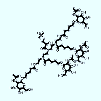 CC(=O)NC1[C@H](OCCCCC(=O)NCCN(CCN(CCN(CCNC(=O)CCCCO[C@@H]2OC(CO)[C@H](O)[C@H](O)C2NC(C)=O)C(=O)CCCCO[C@@H]2OC(CO)[C@H](O)[C@H](O)C2NC(C)=O)C(=O)C(O)COP(C)(C)=O)C(=O)CCCCO[C@@H]2OC(CO)[C@H](O)[C@H](O)C2NC(C)=O)OC(CO)[C@H](O)[C@@H]1O